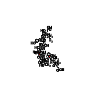 CC(C)C[C@H](NC(=O)[C@H](Cc1ccc(O)cc1)NC(=O)[C@H](CO)NC(=O)[C@H](CO)NC(=O)[C@@H](NC(=O)[C@H](CC(=O)O)NC(=O)[C@H](CO)NC(=O)[C@@H](NC(=O)[C@H](Cc1ccccc1)NC(=O)[C@@H](NC(=O)CNC(=O)[C@@H](N)CCC(=O)O)[C@@H](C)O)[C@@H](C)O)C(C)C)C(=O)N[C@@H](CCC(=O)O)C(=O)O